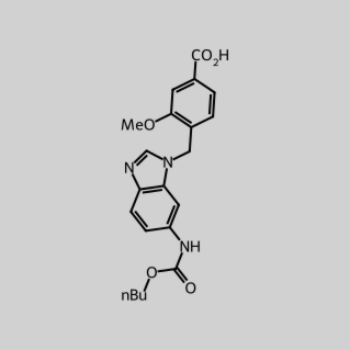 CCCCOC(=O)Nc1ccc2ncn(Cc3ccc(C(=O)O)cc3OC)c2c1